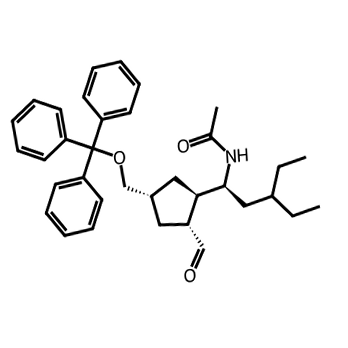 CCC(CC)C[C@H](NC(C)=O)[C@@H]1C[C@@H](COC(c2ccccc2)(c2ccccc2)c2ccccc2)C[C@H]1C=O